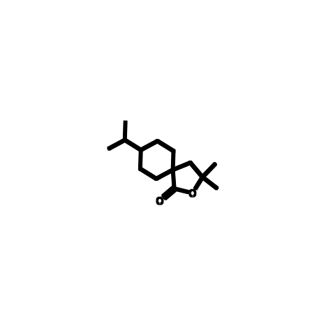 CC(C)C1CCC2(CC1)CC(C)(C)OC2=O